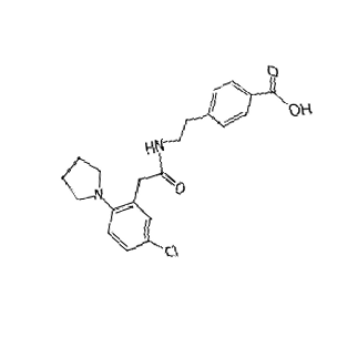 O=C(Cc1cc(Cl)ccc1N1CCCC1)NCCc1ccc(C(=O)O)cc1